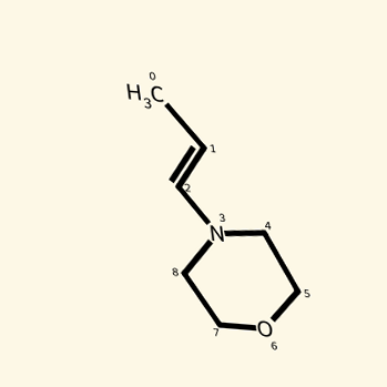 CC=CN1CCOCC1